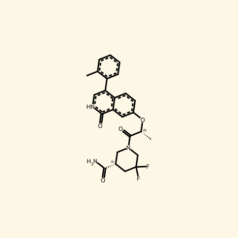 Cc1ccccc1-c1c[nH]c(=O)c2cc(O[C@H](C)C(=O)N3C[C@@H](C(N)=O)CC(F)(F)C3)ccc12